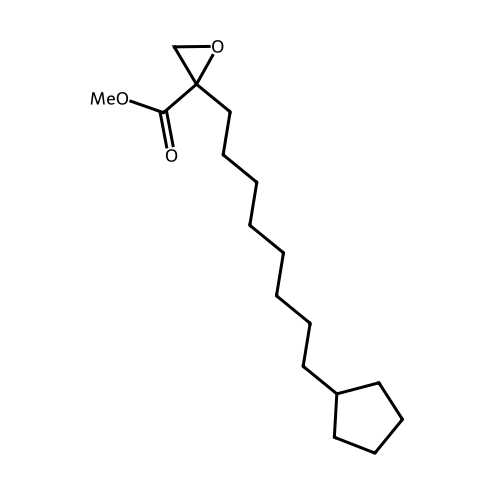 COC(=O)C1(CCCCCCCCC2CCCC2)CO1